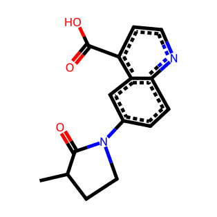 CC1CCN(c2ccc3nccc(C(=O)O)c3c2)C1=O